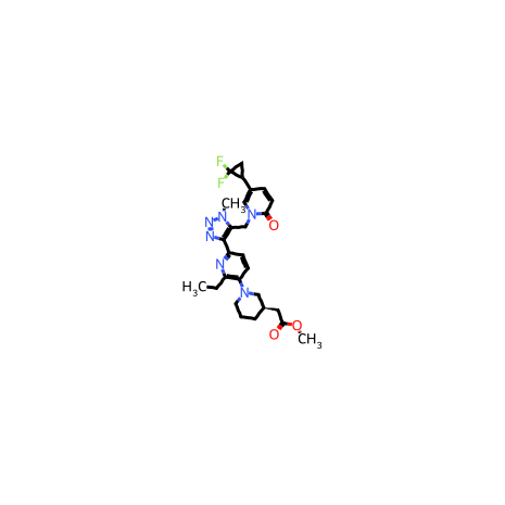 CCc1nc(-c2nnn(C)c2Cn2cc(C3CC3(F)F)ccc2=O)ccc1N1CCC[C@H](CC(=O)OC)C1